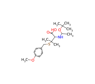 COc1ccc(CSC(C)(C)C(NC(C)OC(C)(C)C)C(=O)O)cc1